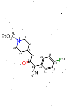 CCOC(=O)N1CCC(CC(=O)C(C#N)c2ccc(F)cc2)CC1